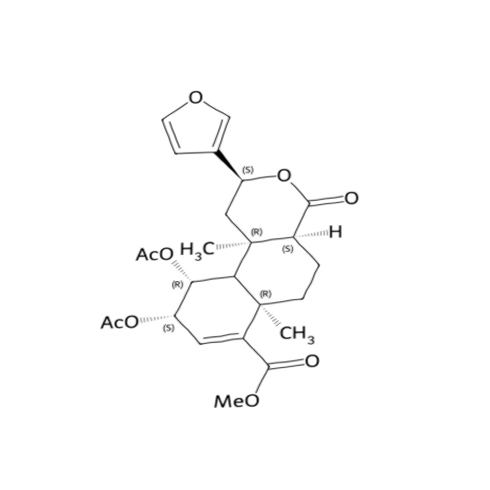 COC(=O)C1=C[C@H](OC(C)=O)[C@H](OC(C)=O)C2[C@@]1(C)CC[C@@H]1C(=O)O[C@H](c3ccoc3)C[C@]21C